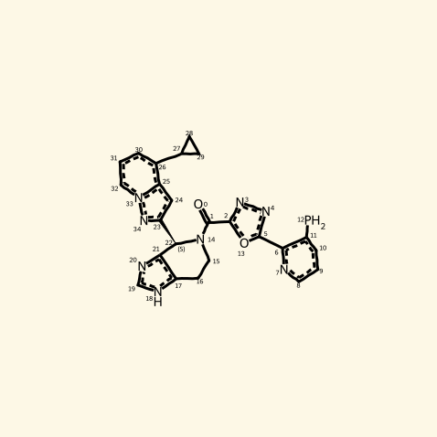 O=C(c1nnc(-c2ncccc2P)o1)N1CCc2[nH]cnc2[C@H]1c1cc2c(C3CC3)cccn2n1